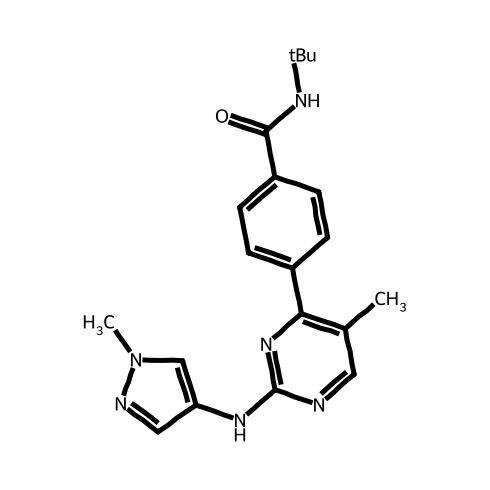 Cc1cnc(Nc2cnn(C)c2)nc1-c1ccc(C(=O)NC(C)(C)C)cc1